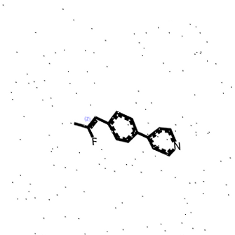 [CH2]/C(F)=C/c1ccc(-c2ccncc2)cc1